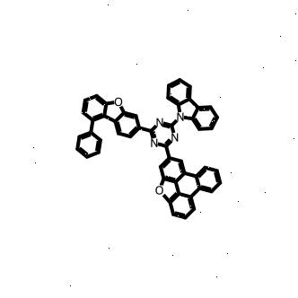 c1ccc(-c2cccc3oc4cc(-c5nc(-c6cc7oc8cccc9c%10ccccc%10c(c6)c7c89)nc(-n6c7ccccc7c7ccccc76)n5)ccc4c23)cc1